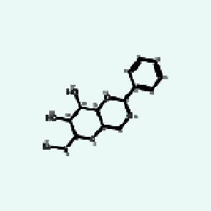 CCSC1OC2COC(c3ccccc3)OC2C(O)C1O